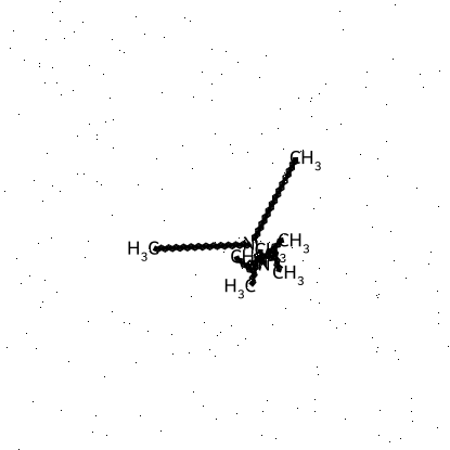 CCCCCCCCCCCCCCCCCCCCCCCCC[CH2][Ni][CH2]CCCCCCCCCCCCCCCCCCCCCCCCC.CCCCc1cc(CCCC)cc(C2=CC(C)=C(c3cc(CCCC)cc(CCCC)c3)[N+]2=[N-])c1